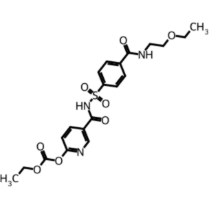 CCOCCNC(=O)c1ccc(S(=O)(=O)NC(=O)c2ccc(OC(=O)OCC)nc2)cc1